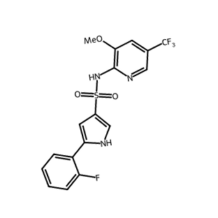 COc1cc(C(F)(F)F)cnc1NS(=O)(=O)c1c[nH]c(-c2ccccc2F)c1